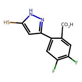 O=C(O)c1cc(F)c(F)cc1-c1cc(S)[nH]n1